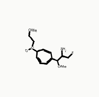 COCC[S+]([O-])C1C=CC=C(C(OC)C(N)CF)C=C1